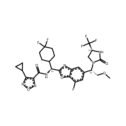 COC[C@H](c1cc(F)c2oc([C@@H](NC(=O)c3nonc3C3CC3)C3CCC(F)(F)CC3)nc2c1)N1C[C@@H](C(F)(F)F)NC1=O